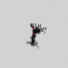 N=C(N)Nc1ccc(C(=O)Oc2ccc(CNS(=O)(=O)N(CCCCCC(=O)O)[C@@H](CC(=O)O)C(=O)OC(=O)C(F)(F)F)cc2)cc1